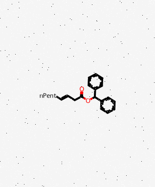 CCCCC/C=C/CC(=O)OC(c1ccccc1)c1ccccc1